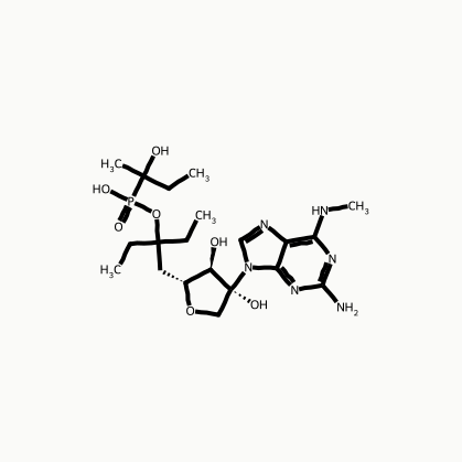 CCC(CC)(C[C@H]1OC[C@](O)(n2cnc3c(NC)nc(N)nc32)[C@@H]1O)OP(=O)(O)C(C)(O)CC